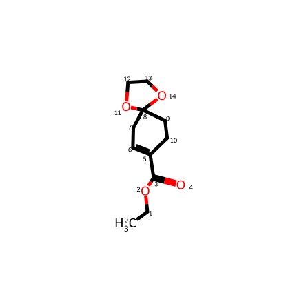 CCOC(=O)C1=CCC2(CC1)OCCO2